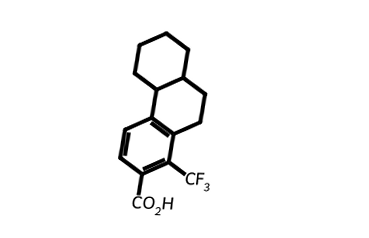 O=C(O)c1ccc2c(c1C(F)(F)F)CCC1CCCCC21